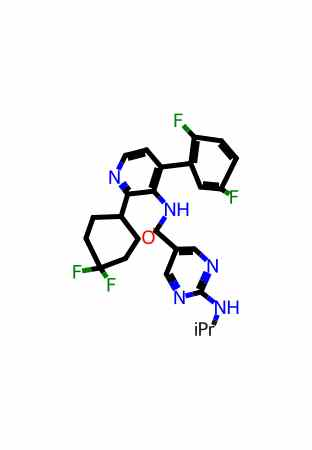 CC(C)Nc1ncc(C(=O)Nc2c(-c3cc(F)ccc3F)ccnc2C2CCC(F)(F)CC2)cn1